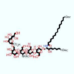 CCCCCCCCCCCCC/C=C/[C@@H](O)[C@H](CO[C@@H]1OC(CO)[C@@H](O[C@@H]2OC(CO)[C@H](O)[C@H](O[C@@H]3OC(CO)[C@@H](O)[C@H](O[C@@H]4OC(CO[C@]5(C(=O)O)CC(O)[C@@H](O)C([C@H](O)[C@H](O)CO)O5)[C@H](O)[C@H](O)C4O)C3NC(C)=O)C2O)[C@H](O)C1O)NC(=O)CCCCCCCCCCCCCCCCCCCCCCCCC